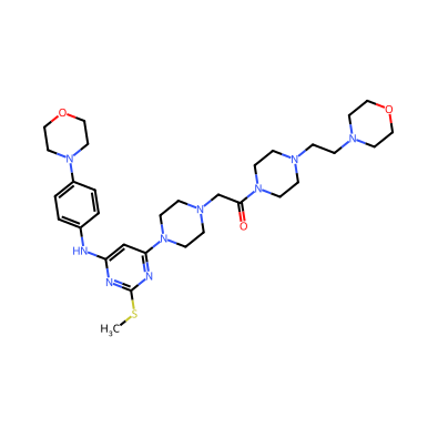 CSc1nc(Nc2ccc(N3CCOCC3)cc2)cc(N2CCN(CC(=O)N3CCN(CCN4CCOCC4)CC3)CC2)n1